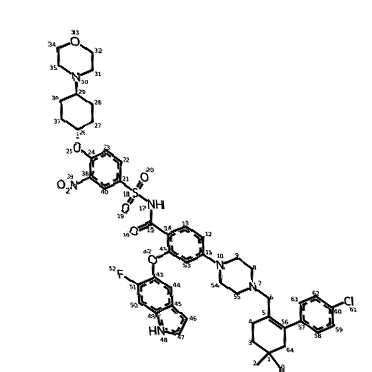 CC1(C)CCC(CN2CCN(c3ccc(C(=O)NS(=O)(=O)c4ccc(O[C@H]5CC[C@H](N6CCOCC6)CC5)c([N+](=O)[O-])c4)c(Oc4cc5cc[nH]c5cc4F)c3)CC2)=C(c2ccc(Cl)cc2)C1